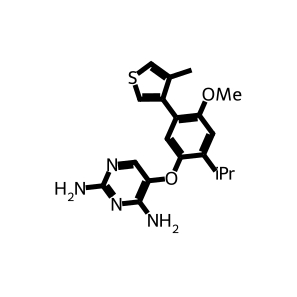 COc1cc(C(C)C)c(Oc2cnc(N)nc2N)cc1-c1cscc1C